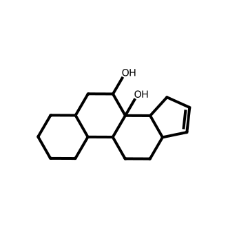 OC1CC2CCCCC2C2CCC3C=CCC3C12O